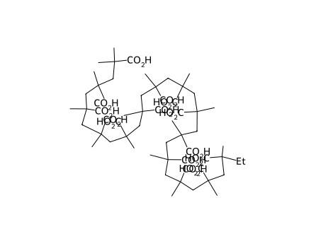 CCC(C)(CC(C)(CC(C)(CC(C)(CC(C)(CC(C)(CC(C)(CC(C)(CC(C)(CC(C)(CC(C)(CC(C)(CC(C)(CC(C)(C)C(=O)O)C(=O)O)C(=O)O)C(=O)O)C(=O)O)C(=O)O)C(=O)O)C(=O)O)C(=O)O)C(=O)O)C(=O)O)C(=O)O)C(=O)O)C(=O)O